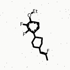 CCOc1ccc(C2CCC(/C=C(/C)F)CC2)c(F)c1F